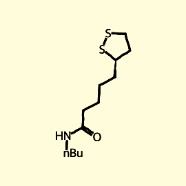 CCCCNC(=O)CCCC[C@@H]1CCSS1